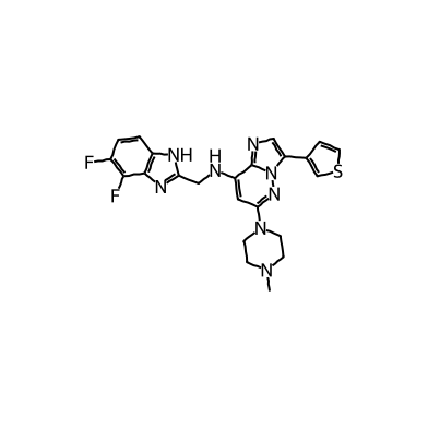 CN1CCN(c2cc(NCc3nc4c(F)c(F)ccc4[nH]3)c3ncc(-c4ccsc4)n3n2)CC1